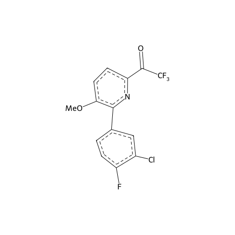 COc1ccc(C(=O)C(F)(F)F)nc1-c1ccc(F)c(Cl)c1